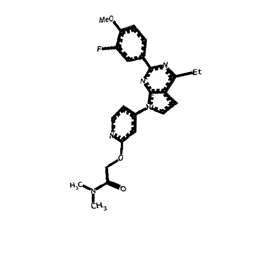 CCc1nc(-c2ccc(OC)c(F)c2)nc2c1ccn2-c1ccnc(OCC(=O)N(C)C)c1